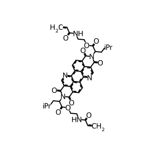 C=CC(=O)NCCOC(=O)C(CC(C)C)N1C(=O)c2ccc3c4ncc5c6c(ccc(c7ncc(c2c37)C1=O)c64)C(=O)N(C(CC(C)C)C(=O)OCCNC(=O)C=C)C5=O